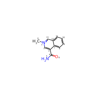 [CH2][n+]1cc(C(N)=O)c2ccccc2c1